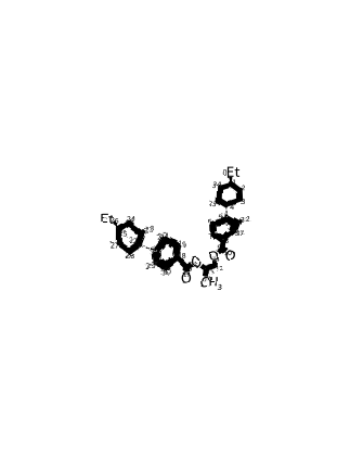 CC[C@H]1CC[C@H](c2ccc(C(=O)OCC(C)OC(=O)c3ccc([C@H]4CC[C@H](CC)CC4)cc3)cc2)CC1